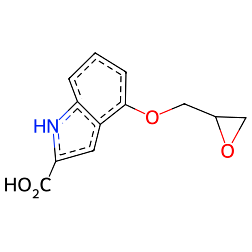 O=C(O)c1cc2c(OCC3CO3)cccc2[nH]1